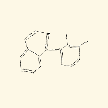 Cc1cccc(-c2nccc3ccccc23)c1C